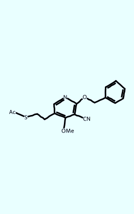 COc1c(CCSC(C)=O)cnc(OCc2ccccc2)c1C#N